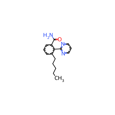 CCCCCc1cccc(C(N)=O)c1-c1ncccn1